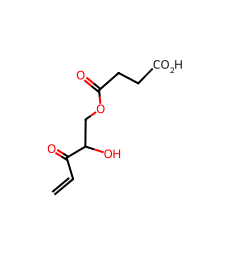 C=CC(=O)C(O)COC(=O)CCC(=O)O